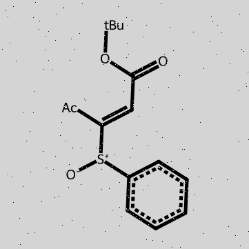 CC(=O)C(=CC(=O)OC(C)(C)C)[S+]([O-])c1ccccc1